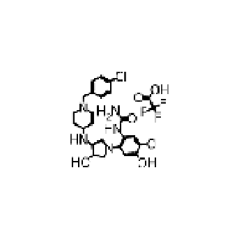 NC(=O)Nc1cc(Cl)c(O)cc1N1CC(O)C(NC2CCN(Cc3ccc(Cl)cc3)CC2)C1.O=C(O)C(F)(F)F